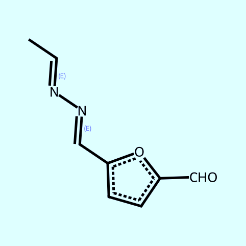 C/C=N/N=C/c1ccc(C=O)o1